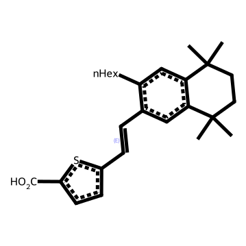 CCCCCCc1cc2c(cc1/C=C/c1ccc(C(=O)O)s1)C(C)(C)CCC2(C)C